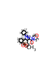 CCC1c2c(C(=O)N3CCOCC3)nn(-c3ccccc3)c2-c2ccccc2S1(=O)=O